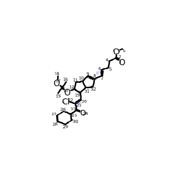 COC(=O)CC/C=C/C1=CC2CC(OC(C)(C)OC)C(/C=C(\Cl)C(=O)C3CCCCC3)C2C1